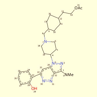 CNc1nn(C2CCN(CC3CCC(CCOC(C)=O)CC3)CC2)c2cc(-c3ccccc3O)nnc12